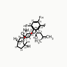 CC(C)CS(=O)(=O)CCC(=O)N1[C@@H]2CC[C@H]1C[C@@H]([C@H](N)Cc1cc(F)c(F)cc1F)C2